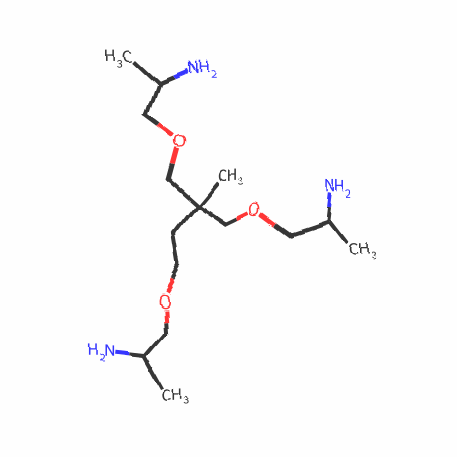 CC(N)COCCC(C)(COCC(C)N)COCC(C)N